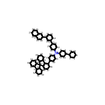 c1ccc(-c2ccc(N(c3ccc(-c4cccc(-c5ccc6ccccc6c5)c4)cc3)c3ccc(-c4cccc5c4-c4ccccc4C54c5ccccc5-c5ccccc54)cc3)cc2)cc1